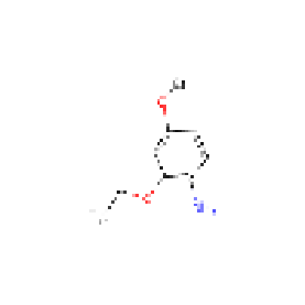 CCOc1ccc(N)c(OCC(F)(F)F)c1